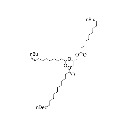 CCCC/C=C\CCCCCCCC(=O)OC[C@H](COC(=O)CCCCCCCCCCCCCCCCCCCC)OC(=O)CCCCCCC/C=C\CCCC